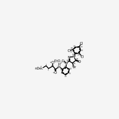 CCCCCCCCCCCCC(Cl)C(=O)Nc1ccccc1N(C(=O)OCC)C1=NN(c2c(Cl)cc(Cl)cc2Cl)C(=O)C1Br